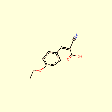 CCOc1ccc(C=C(C#N)C(=O)O)cc1